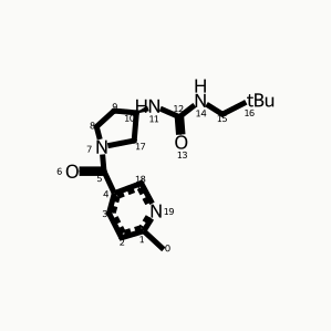 Cc1ccc(C(=O)N2CC[C@@H](NC(=O)NCC(C)(C)C)C2)cn1